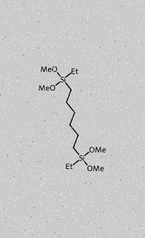 CC[Si](CCCCCC[Si](CC)(OC)OC)(OC)OC